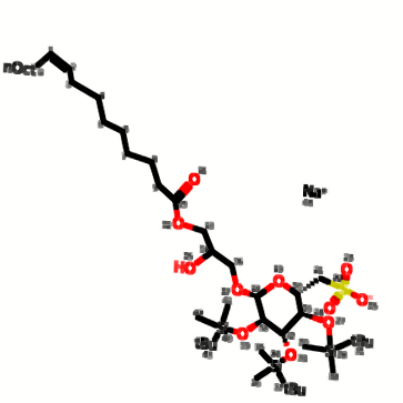 CCCCCCCC/C=C\CCCCCCCC(=O)OCC(O)CO[C@H]1O[C@H](CS(=O)(=O)[O-])[C@@H](O[Si](C)(C)C(C)(C)C)[C@H](O[Si](C)(C)C(C)(C)C)[C@H]1O[Si](C)(C)C(C)(C)C.[Na+]